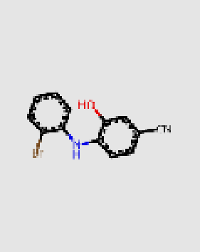 N#Cc1ccc(Nc2[c]cccc2Br)c(O)c1